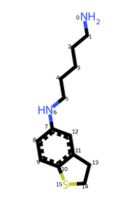 NCCCCCNc1ccc2c(c1)CCS2